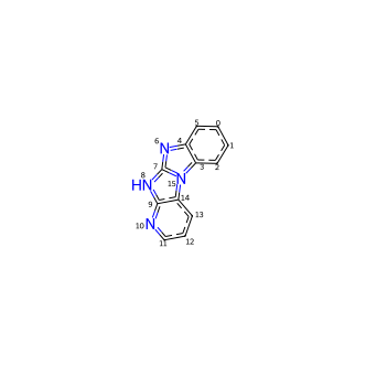 c1ccc2c(c1)nc1[nH]c3ncccc3n12